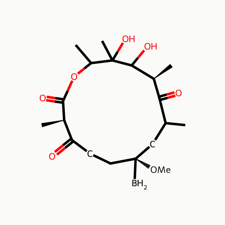 B[C@]1(OC)CCC(=O)[C@@H](C)C(=O)OC(C)C(C)(O)C(O)[C@@H](C)C(=O)C(C)C1